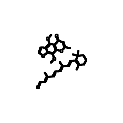 CC1=C(/C=C/C(C)=C/C=C/C(C)=C/C=O)C(C)(C)CCC1.COc1c2occc2c(OC)c2c(=O)cc(C)oc12